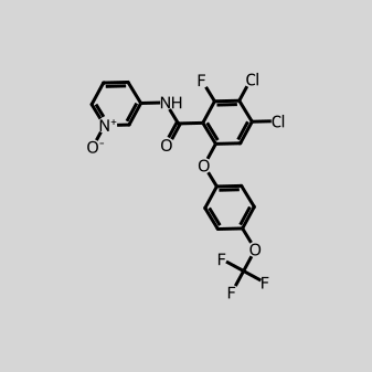 O=C(Nc1ccc[n+]([O-])c1)c1c(Oc2ccc(OC(F)(F)F)cc2)cc(Cl)c(Cl)c1F